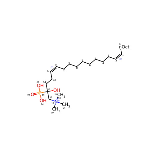 CCCCCCCC/C=C\CCCCCCCC/C=C\CCC(O)(C[N+](C)(C)C)P(=O)(O)O